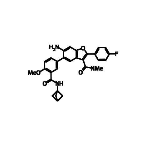 CNC(=O)c1c(-c2ccc(F)cc2)oc2cc(N)c(-c3ccc(OC)c(C(=O)NC45CC(C4)C5)c3)cc12